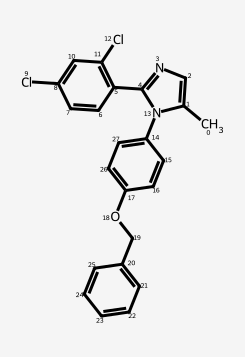 Cc1cnc(-c2ccc(Cl)cc2Cl)n1-c1ccc(OCc2ccccc2)cc1